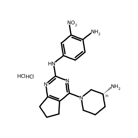 Cl.Cl.Nc1ccc(Nc2nc3c(c(N4CCC[C@@H](N)C4)n2)CCC3)cc1[N+](=O)[O-]